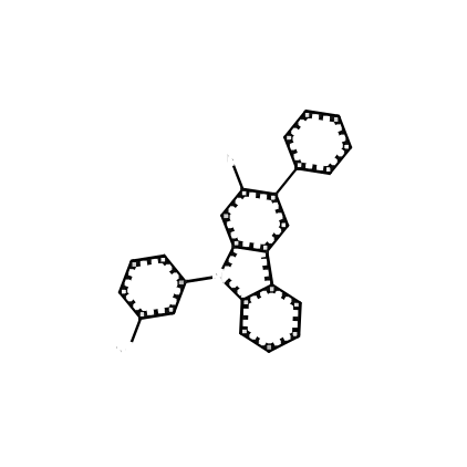 N#Cc1cccc(-n2c3ccccc3c3cc(-c4ccccc4)c(N)cc32)c1